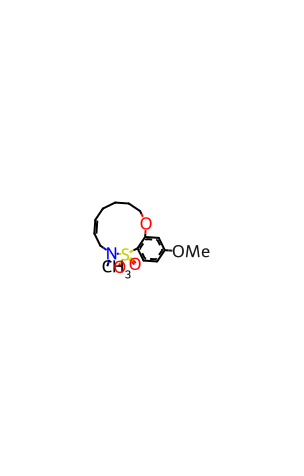 COc1ccc2c(c1)OCCCC/C=C\CN(C)S2(=O)=O